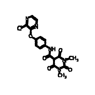 CN1C(=O)C(C(=O)Nc2ccc(Oc3nccnc3Cl)cc2)C(=O)N(C)C1=O